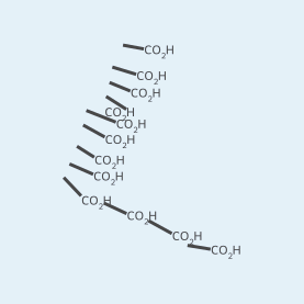 CC(=O)O.CC(=O)O.CC(=O)O.CC(=O)O.CC(=O)O.CC(=O)O.CC(=O)O.CC(=O)O.CC(=O)O.CC(=O)O.CC(=O)O.CC(=O)O